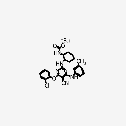 Cc1cccc(Nc2nc(NC3CCCCC3NC(=O)OC(C)(C)C)nc(Oc3ccccc3Cl)c2C#N)c1